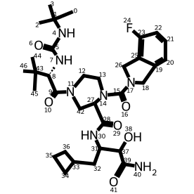 CC(C)(C)NC(=O)N[C@H](C(=O)N1CCN(C(=O)N2Cc3cccc(F)c3C2)C(C(=O)NC(CC2CCC2)C(O)C(N)=O)C1)C(C)(C)C